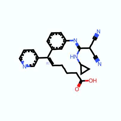 N#CC(C#N)C(=Nc1cccc(/C(=C\CCCC(=O)O)c2cccnc2)c1)NC1CC1